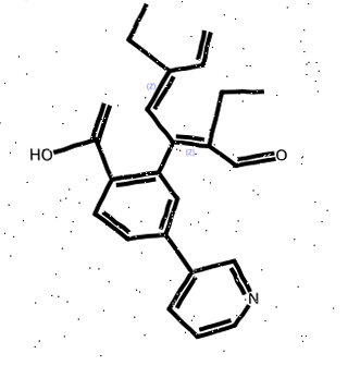 C=C/C(=C\C(=C(\C=O)CC)c1cc(-c2cccnc2)ccc1C(=C)O)CC